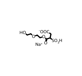 O=C([O-])CC(C(=O)OCCOCCO)S(=O)(=O)O.[Na+]